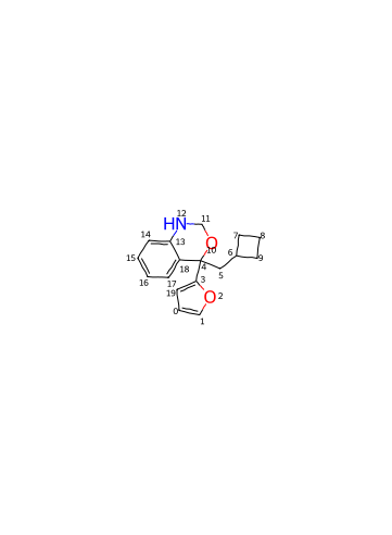 c1coc(C2(CC3CCC3)OCNc3ccccc32)c1